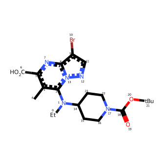 CCN(c1c(C)c(C(=O)O)nc2c(Br)cnn12)C1CCN(C(=O)OC(C)(C)C)CC1